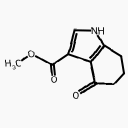 COC(=O)c1c[nH]c2c1C(=O)CCC2